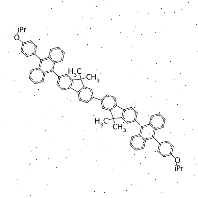 CC(C)Oc1ccc(-c2c3ccccc3c(-c3ccc4c(c3)C(C)(C)c3cc(-c5ccc6c(c5)C(C)(C)c5cc(-c7c8ccccc8c(-c8ccc(OC(C)C)cc8)c8ccccc78)ccc5-6)ccc3-4)c3ccccc23)cc1